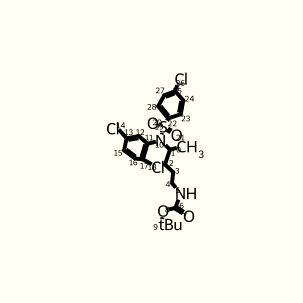 CC(CCCNC(=O)OC(C)(C)C)N(c1cc(Cl)ccc1Cl)S(=O)(=O)c1ccc(Cl)cc1